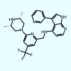 C[C@@H]1CN(c2cc(C(F)(F)F)cc(CNc3ccnc4[nH]cc(-c5cccnc5)c34)n2)C[C@H](C)N1